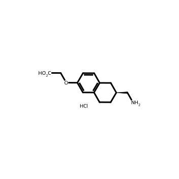 Cl.NC[C@H]1CCc2cc(OCC(=O)O)ccc2C1